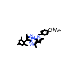 COc1ccc(Cn2c(C)cc3c(C)nc4c(-c5c(C)cc(C)cc5C)c(C)nn4c32)cc1